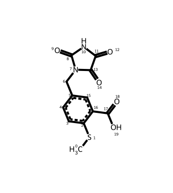 CSc1ccc(CN2C(=O)NC(=O)C2=O)cc1C(=O)O